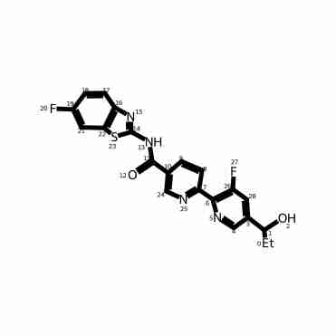 CCC(O)c1cnc(-c2ccc(C(=O)Nc3nc4ccc(F)cc4s3)cn2)c(F)c1